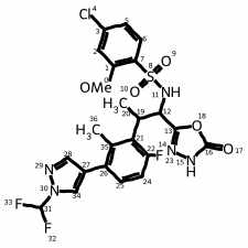 COc1cc(Cl)ccc1S(=O)(=O)NC(c1n[nH]c(=O)o1)C(C)c1c(F)ccc(-c2cnn(C(F)F)c2)c1C